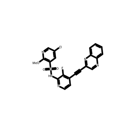 COc1ncc(Cl)cc1S(=O)(=O)Nc1nccc(C#Cc2cnc3ccccc3n2)c1F